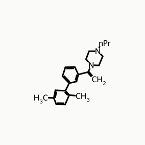 C=C(c1cccc(-c2cc(C)ccc2C)c1)N1CCN(CCC)CC1